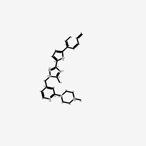 C=C/C=C\C(=C/C)c1ccc(-c2nc(C)n(Cc3ccnc(N4CCN(C)CC4)c3)n2)o1